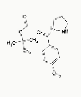 CC(C)(C)OC=O.Cc1ccc(C(=O)[C@@H]2CCCN2)cc1